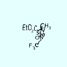 CCOC(=O)c1sc(N2CCN(CCCC(F)(F)F)C2=O)nc1C